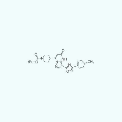 Cc1ccc(-c2noc(-c3cnn4c(C5CCN(C(=O)OC(C)(C)C)CC5)cc(=O)[nH]c34)n2)cc1